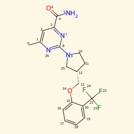 Cc1cc(C(N)=O)nc(N2CC[C@H](COc3ccccc3C(F)(F)F)C2)n1